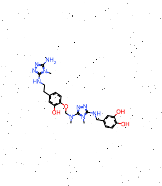 CN(COc1ccc(CCNc2nnc(N)n2C)cc1O)c1nnc(NCc2ccc(O)c(O)c2)n1C